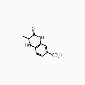 CC1Nc2ccc(C(=O)O)cc2NC1=O